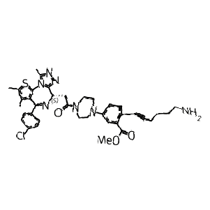 COC(=O)c1cc(N2CCN(C(=O)C[C@@H]3N=C(c4ccc(Cl)cc4)c4c(sc(C)c4C)-n4c(C)nnc43)CC2)ccc1C#CCCCCN